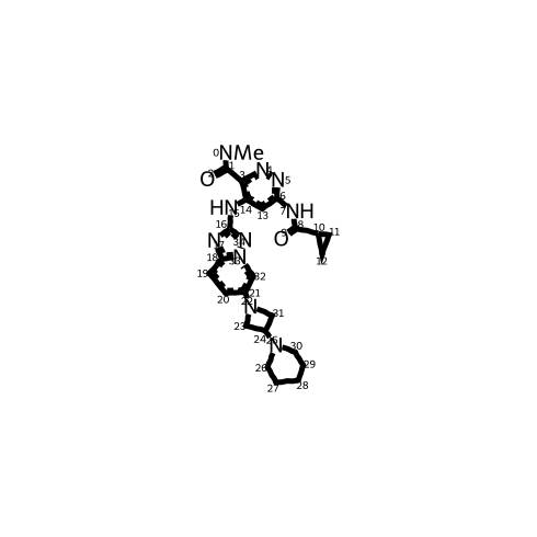 CNC(=O)c1nnc(NC(=O)C2CC2)cc1Nc1nc2ccc(N3CC(N4CCCCC4)C3)cn2n1